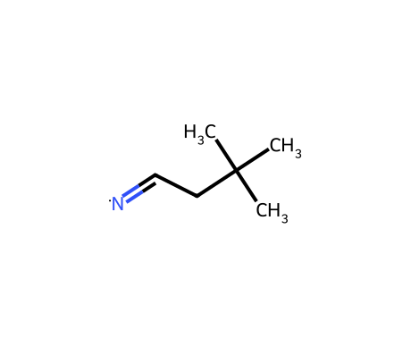 CC(C)(C)CC=[N]